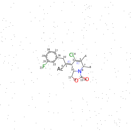 CC(=O)/C(=C/C(Cl)=C(/C)C(C)N1CCOC1=O)Cc1cccc(F)c1